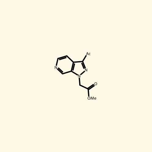 COC(=O)Cn1nc(C(C)=O)c2ccncc21